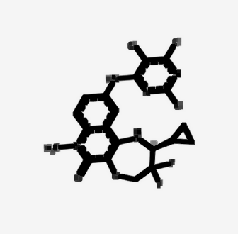 Cn1c(=O)c2c(c3cc(Nc4nc(Cl)nc(Cl)c4Cl)ccc31)N[C@@H](C1CC1)C(F)(F)CO2